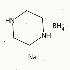 C1CNCCN1.[BH4-].[Na+]